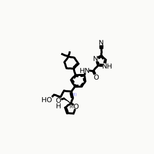 CC1(C)CC=C(c2cc(/C(=C/[C@@]3(CO)C=CCO3)CCCO)ccc2NC(=O)c2nc(C#N)c[nH]2)CC1